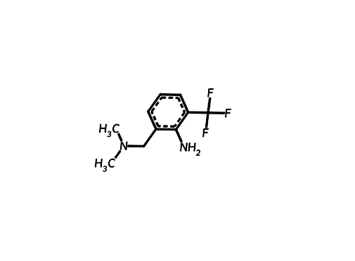 CN(C)Cc1cccc(C(F)(F)F)c1N